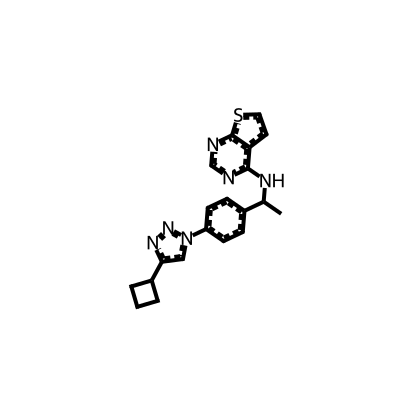 CC(Nc1ncnc2sccc12)c1ccc(-n2cc(C3CCC3)nn2)cc1